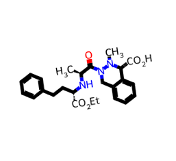 CCOC(=O)[C@H](CCc1ccccc1)N[C@@H](C)C(=O)N1Cc2ccccc2C(C(=O)O)N1C